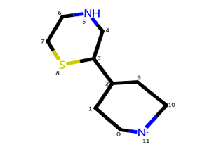 C1CC(C2CNCCS2)CC[N]1